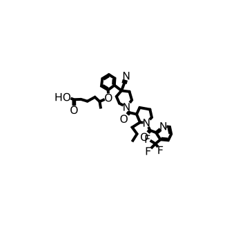 CCCC1C(C(=O)N2CCC(C#N)(c3ccccc3OC(C)CCCC(=O)O)CC2)CCCN1C(=O)c1ncccc1C(F)(F)F